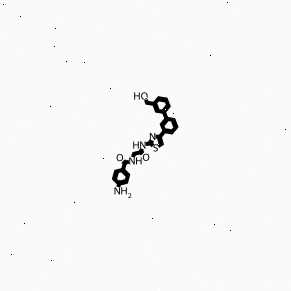 Nc1ccc(C(=O)NCC(=O)Nc2nc(-c3cccc(-c4cccc(CO)c4)c3)cs2)cc1